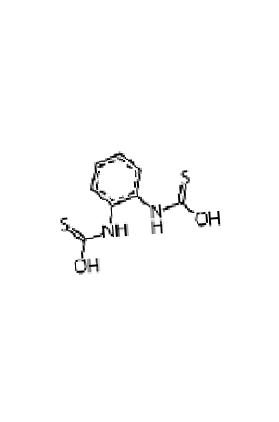 OC(=S)Nc1ccccc1NC(O)=S